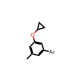 CC(=O)c1cc(C)cc(OC2CC2)c1